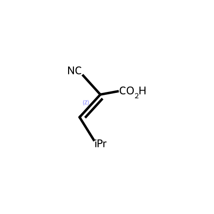 CC(C)/C=C(/C#N)C(=O)O